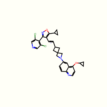 Clc1cncc(Cl)c1-c1noc(C2CC2)c1/C=C/C1CC2(C1)CN(c1ccc3nccc(OC4CC4)c3c1)C2